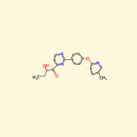 CC[C@@H](O)C(=O)c1ccnc(-c2ccc(Oc3ccc(C)cn3)cc2)n1